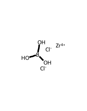 OB(O)O.[Cl-].[Cl-].[Zr+4]